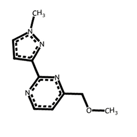 COCc1ccnc(-c2ccn(C)n2)n1